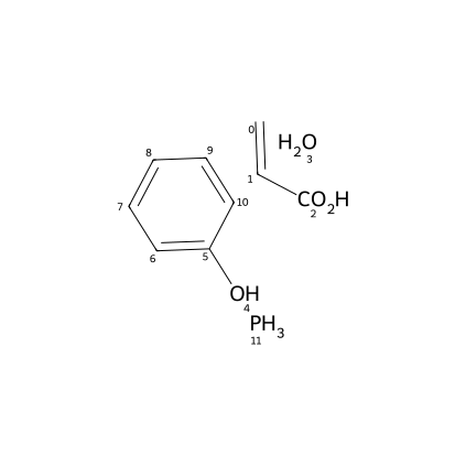 C=CC(=O)O.O.Oc1ccccc1.P